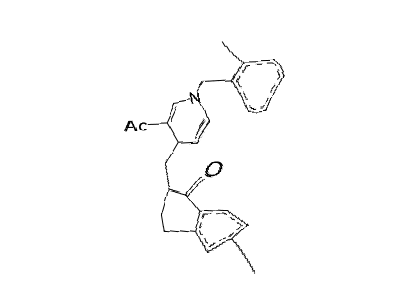 CC(=O)C1=CN(Cc2ccccc2C)C=CC1CC1CCc2cc(C)ccc2C1=O